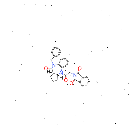 O=C1c2ccccc2C(=O)N1CC(=O)N1c2ccccc2N(Cc2ccccc2)C(=O)[C@H]2CCC[C@H]21